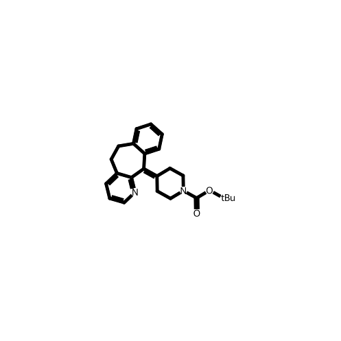 CC(C)(C)OC(=O)N1CCC(=C2c3ccccc3CCc3cccnc32)CC1